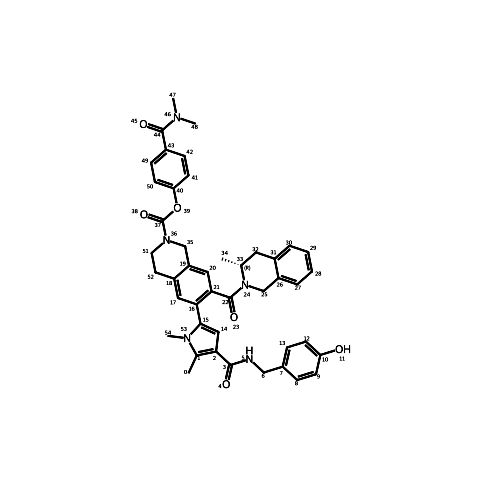 Cc1c(C(=O)NCc2ccc(O)cc2)cc(-c2cc3c(cc2C(=O)N2Cc4ccccc4C[C@H]2C)CN(C(=O)Oc2ccc(C(=O)N(C)C)cc2)CC3)n1C